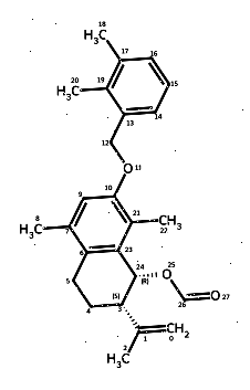 C=C(C)[C@@H]1CCc2c(C)cc(OCc3cccc(C)c3C)c(C)c2[C@@H]1OC=O